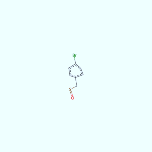 O=[S+]Cc1ccc(Br)cc1